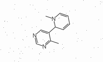 Cc1ncncc1C1C=CC=CN1C